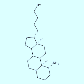 CC(C)CCCC[C@H]1CCC2C3CCC4CCC[C@@H](N)[C@]4(C)C3CC[C@@]21C